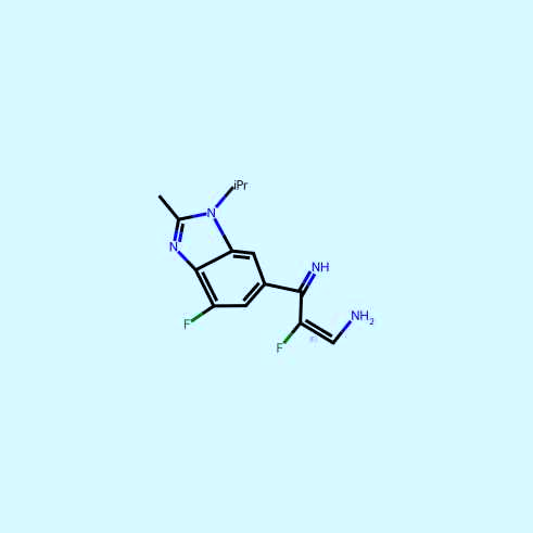 Cc1nc2c(F)cc(C(=N)/C(F)=C\N)cc2n1C(C)C